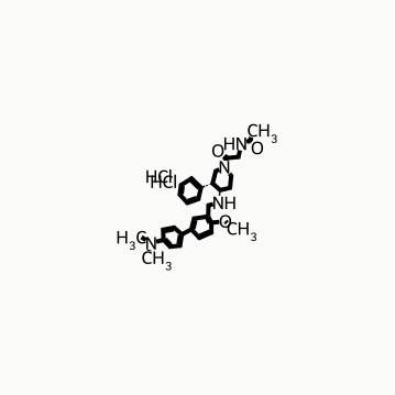 COc1ccc(-c2ccc(N(C)C)cc2)cc1CN[C@H]1CCN(C(=O)CNC(C)=O)C[C@H]1c1ccccc1.Cl.Cl